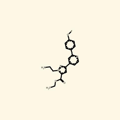 CCOC(=O)c1cc(-c2ccnc(-c3ccc(OF)cc3)c2)nn1CCN